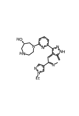 C=c1[nH]nc(-c2cccc(N3CCNC[C@@H](O)C3)n2)/c1=C/C(=N\C)c1cnn(CC)c1